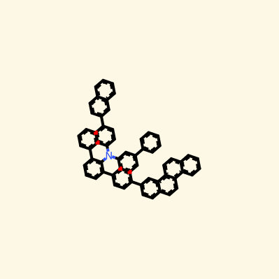 c1ccc(-c2cccc(N(c3ccc(-c4ccc5ccccc5c4)cc3)c3c(-c4ccccc4)cccc3-c3ccc(-c4ccc5ccc6c7ccccc7ccc6c5c4)cc3)c2)cc1